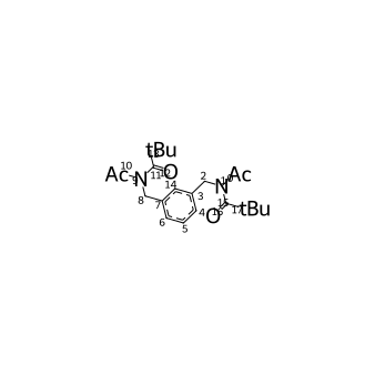 CC(=O)N(Cc1cccc(CN(C(C)=O)C(=O)C(C)(C)C)c1)C(=O)C(C)(C)C